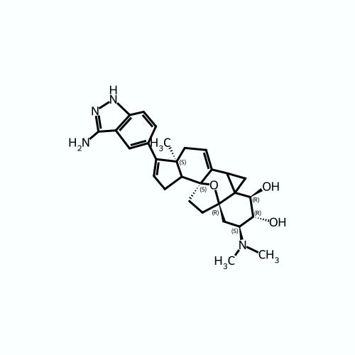 CN(C)[C@H]1C[C@@]23CC[C@@]4(O2)C(=CC[C@]2(C)C(c5ccc6[nH]nc(N)c6c5)=CCC24)C2CC23[C@@H](O)[C@@H]1O